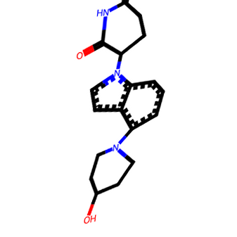 O=C1CCC(n2ccc3c(N4CCC(O)CC4)cccc32)C(=O)N1